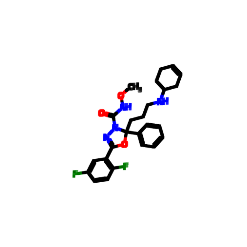 CONC(=O)N1N=C(c2cc(F)ccc2F)OC1(CCCNC1CC=CCC1)c1ccccc1